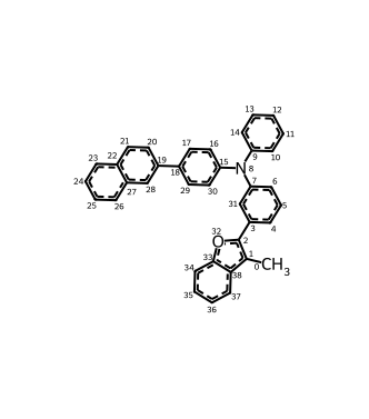 Cc1c(-c2cccc(N(c3ccccc3)c3ccc(-c4ccc5ccccc5c4)cc3)c2)oc2ccccc12